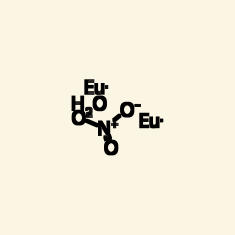 O.O=[N+]([O-])[O-].[Eu].[Eu]